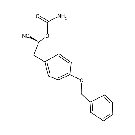 N#C[C@H](Cc1ccc(OCc2ccccc2)cc1)OC(N)=O